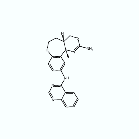 C[C@]12N=C(N)SC[C@H]1CCOc1ccc(Nc3ncnc4ccccc34)cc12